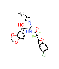 CC1CN(C[C@@H](NC(=O)C(F)(F)c2cc3cc(Cl)ccc3o2)[C@H](O)c2ccc3c(c2)OCCO3)C1